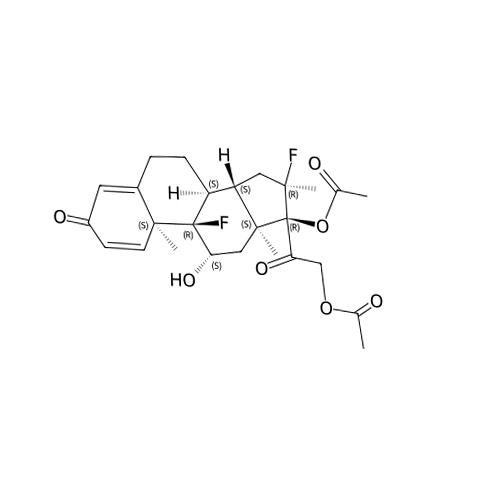 CC(=O)OCC(=O)[C@]1(OC(C)=O)[C@@]2(C)C[C@H](O)[C@@]3(F)[C@@H](CCC4=CC(=O)C=C[C@@]43C)[C@@H]2C[C@@]1(C)F